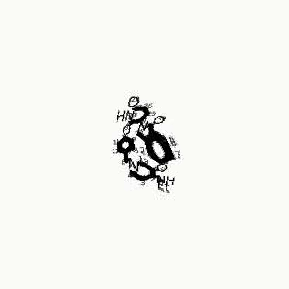 CCNC1CCN(Cc2ccccc2)CC1Oc1ccc2c(c1)CN(C1CCC(=O)NC1=O)C2=O